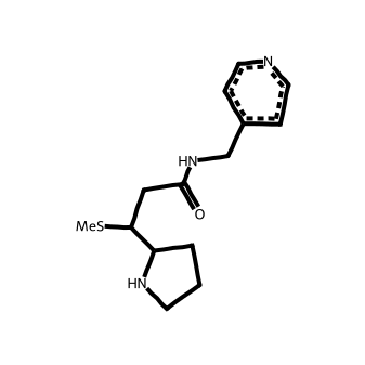 CSC(CC(=O)NCc1ccncc1)C1CCCN1